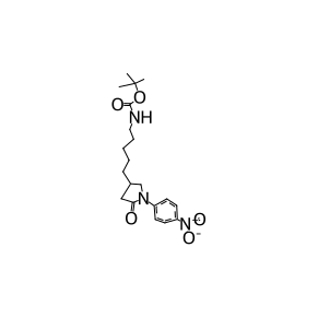 CC(C)(C)OC(=O)NCCCCCC1CC(=O)N(c2ccc([N+](=O)[O-])cc2)C1